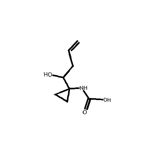 C=CCC(O)C1(NC(=O)O)CC1